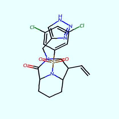 C=CC1CN(Cc2c[nH]nn2)C(=O)C2CCCC1N2S(=O)(=O)c1cc(Cl)cc(Cl)c1